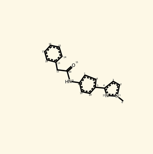 Cn1ccc(-c2ccc(NC(=O)Cc3ccccc3)cc2)n1